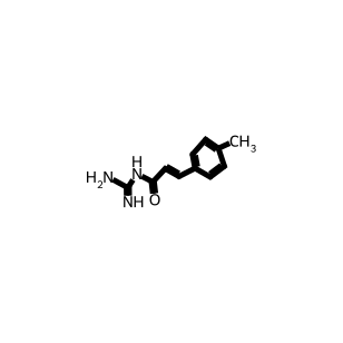 Cc1ccc(C=CC(=O)NC(=N)N)cc1